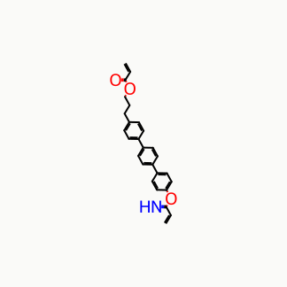 C=CC(=N)Oc1ccc(-c2ccc(-c3ccc(CCCOC(=O)C=C)cc3)cc2)cc1